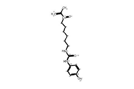 C=[C](C)[Co](=[O])[CH2]CCCCCNC(=O)Nc1ccc(O)cc1